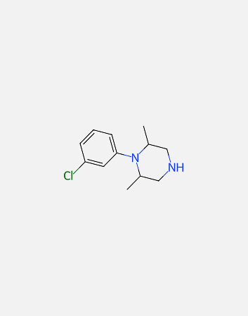 CC1CNCC(C)N1c1cccc(Cl)c1